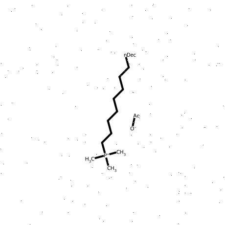 CC(=O)[O-].CCCCCCCCCCCCCCCCCC[P+](C)(C)C